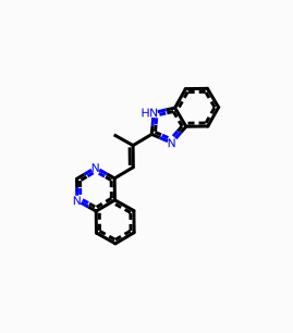 C/C(=C\c1ncnc2ccccc12)c1nc2ccccc2[nH]1